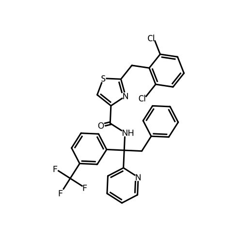 O=C(NC(Cc1ccccc1)(c1cccc(C(F)(F)F)c1)c1ccccn1)c1csc(Cc2c(Cl)cccc2Cl)n1